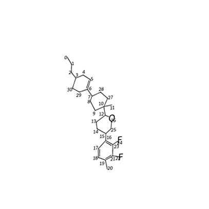 CCCC1CC=C(C2CCC(C)(C3CCC(c4ccc(C)c(F)c4F)CO3)CC2)CC1